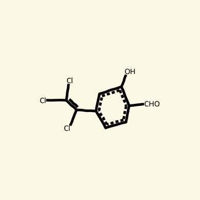 O=Cc1ccc(C(Cl)=C(Cl)Cl)cc1O